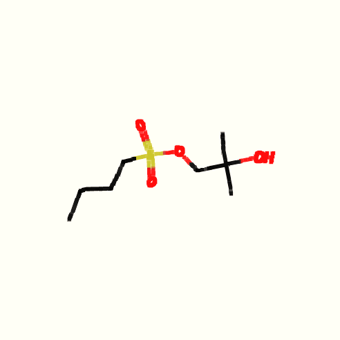 CCCCS(=O)(=O)OCC(C)(C)O